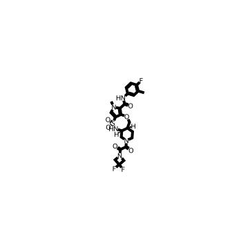 Cc1cc(NC(=O)c2c3c(cn2C)S(=O)(=O)N[C@@H]2CN(C(=O)C(=O)N4CC(F)(F)C4)CC[C@H]2CO3)ccc1F